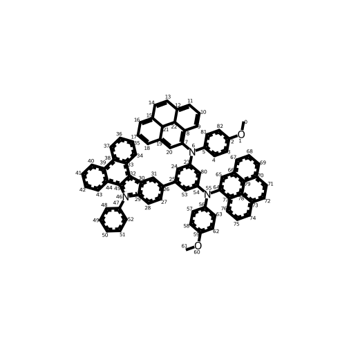 COc1ccc(N(C2=C3C=CC=C4C=CC5=CC=CC(=C2)C5C43)c2cc(-c3ccc4c(c3)c3c5ccccc5c5ccccc5c3n4-c3ccccc3)cc(N(c3ccc(OC)cc3)c3cc4cccc5ccc6cccc3c6c54)c2)cc1